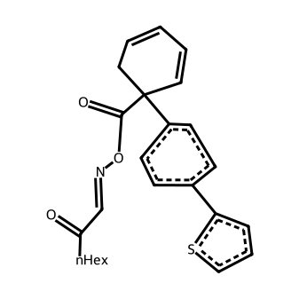 CCCCCCC(=O)C=NOC(=O)C1(c2ccc(-c3cccs3)cc2)C=CC=CC1